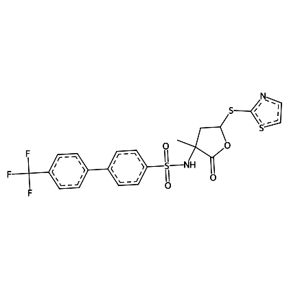 CC1(NS(=O)(=O)c2ccc(-c3ccc(C(F)(F)F)cc3)cc2)CC(Sc2nccs2)OC1=O